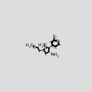 COCC[C@@H]1C[C@@H](N)[C@H](c2ccnc(F)c2)N1C